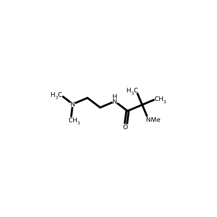 CNC(C)(C)C(=O)NCCN(C)C